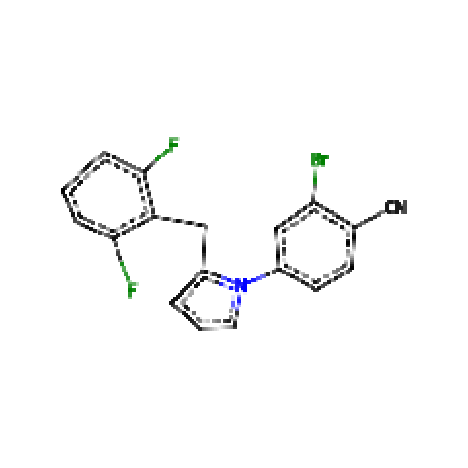 N#Cc1ccc(-n2cccc2Cc2c(F)cccc2F)cc1Br